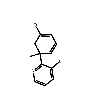 CC1(c2ncccc2Cl)C=CC=C(O)C1